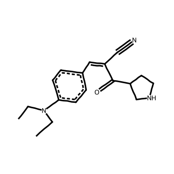 CCN(CC)c1ccc(C=C(C#N)C(=O)C2CCNC2)cc1